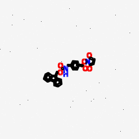 O=C(NCc1ccc(C(=O)ON2C(=O)CCC2=O)cc1)OCC1c2ccccc2-c2ccccc21